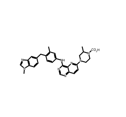 Cc1cc(Nc2ncnc3ccc(N4CCN(C(=O)O)C(C)C4)nc23)ccc1Cc1ccc2c(c1)ncn2C